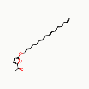 C=CCC=CCC=CCCCCCCCCOc1ccc(C(C)=O)o1